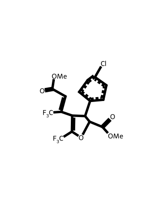 COC(=O)C=C(C1=C(C(F)(F)F)OC(C(=O)OC)C1c1ccc(Cl)cc1)C(F)(F)F